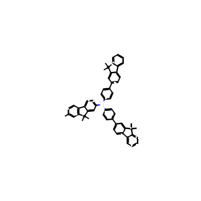 Cc1ccc2c(c1)C(C)(C)c1cc(N(c3ccc(-c4ccc5c(c4)C(C)(C)c4ccccc4-5)cc3)c3ccc(-c4ccc5c(c4)C(C)(C)c4ccccc4-5)cc3)ccc1-2